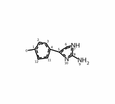 Cc1ccc(-c2c[nH]c(N)n2)cc1